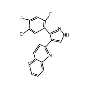 Fc1cc(F)c(-c2n[nH]cc2-c2ccc3ncccc3n2)cc1Cl